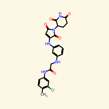 Cc1ccc(NC(=O)CNc2cccc(NC3=CC(=O)N(C4CCC(=O)NC4=O)C3=O)c2)cc1Cl